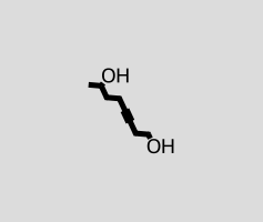 CC(O)CCC#CCCO